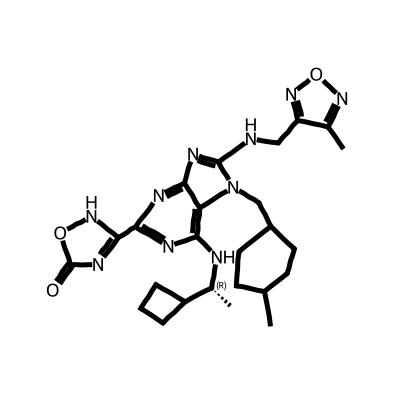 Cc1nonc1CNc1nc2nc(-c3nc(=O)o[nH]3)nc(N[C@H](C)C3CCC3)c2n1CC1CCC(C)CC1